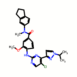 COc1cc(C(=O)N(C)c2ccc3c(c2)CCC3)ccc1Nc1ncc(Cl)c(-c2ccn(C(C)C)n2)n1